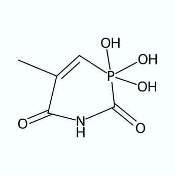 CC1=CP(O)(O)(O)C(=O)NC1=O